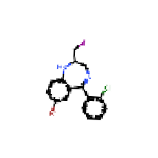 Clc1ccccc1C1=NCC(CI)Nc2ccc(Br)cc21